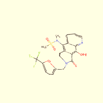 CN(c1c2c(c(O)c3ncccc13)C(=O)N(Cc1ccc(C(F)(F)F)o1)C2)S(C)(=O)=O